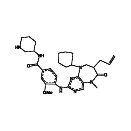 C=CCC1CN(C2CCCCC2)c2nc(Nc3ccc(C(=O)NC4CCCNC4)cc3OC)ncc2N(C)C1=O